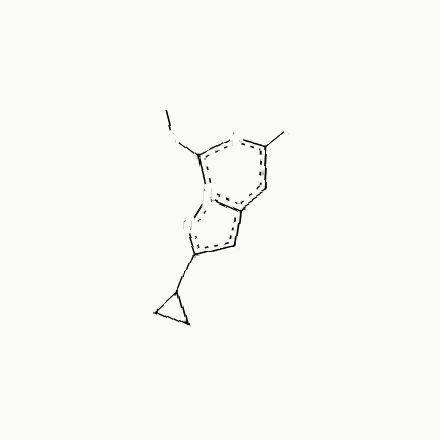 CSc1nc(C)cc2cc(C3CC3)nn12